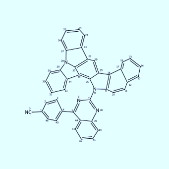 N#Cc1ccc(-c2nc(-n3c4ccc5ccccc5c4c4cc5c6ccccc6n6c7ccccc7c(c43)c56)nc3ccccc23)cc1